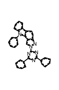 c1ccc(-c2nc(-c3ccccc3)nc(-n3cc4c(ccc5c6ccccc6n(-c6ccccc6)c45)n3)n2)cc1